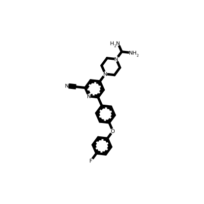 N#Cc1cc(N2CCN(C(N)N)CC2)cc(-c2ccc(Oc3ccc(F)cc3)cc2)n1